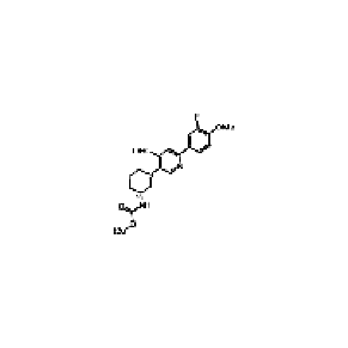 COc1ccc(-c2cc(C=O)c(N3CCC[C@@H](NC(=O)OC(C)(C)C)C3)cn2)cc1F